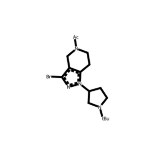 CC(=O)N1CCc2c(c(Br)nn2C2CCN(C(C)(C)C)C2)C1